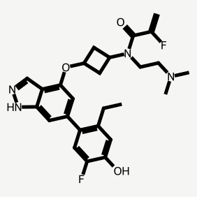 C=C(F)C(=O)N(CCN(C)C)C1CC(Oc2cc(-c3cc(F)c(O)cc3CC)cc3[nH]ncc23)C1